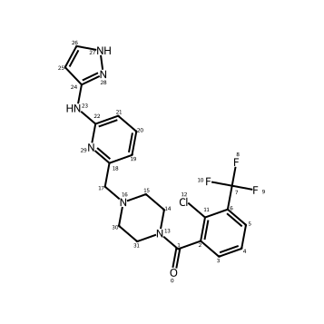 O=C(c1cccc(C(F)(F)F)c1Cl)N1CCN(Cc2cccc(Nc3cc[nH]n3)n2)CC1